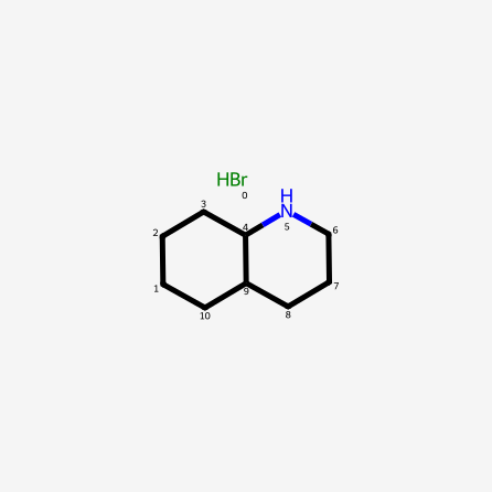 Br.C1CCC2NCCCC2C1